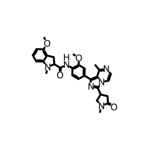 COc1cc(-c2nc(C3CC(=O)N(C)C3)n3ccnc(C)c23)ccc1NC(=O)C1Cc2c(OC)cccc2N1C